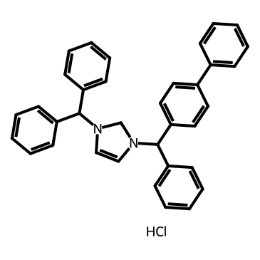 C1=CN(C(c2ccccc2)c2ccc(-c3ccccc3)cc2)CN1C(c1ccccc1)c1ccccc1.Cl